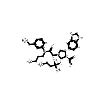 CCCCN(C(=O)CN1C[C@H](c2ccc3c(c2)OCO3)[C@@H](C(=O)O)[C@@H]1CC(C)(C)CCC)c1cccc(CN)c1